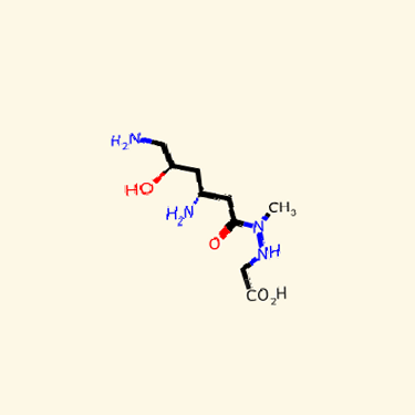 CN(NCC(=O)O)C(=O)C[C@H](N)C[C@@H](O)CN